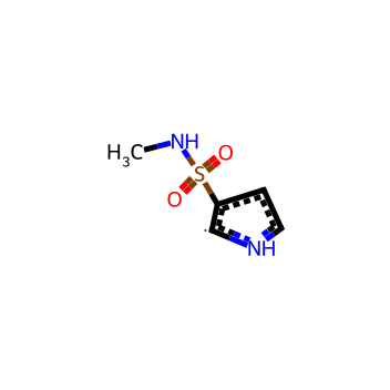 CNS(=O)(=O)c1[c][nH]cc1